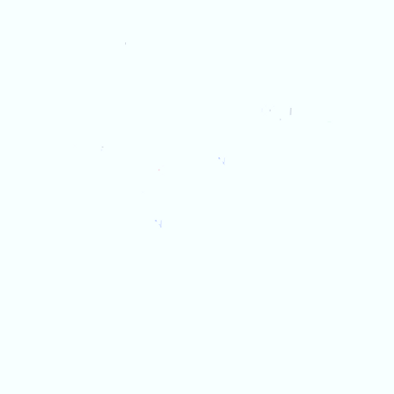 Cc1cc(C(C)Nc2cccc(F)c2C(=O)O)c2oc(N3Cc4ccc(F)cc4C3)c(C)c(=O)c2c1